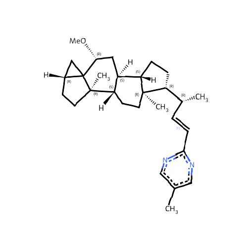 CO[C@@H]1C[C@H]2[C@@H]3CC[C@H]([C@H](C)/C=C/c4ncc(C)cn4)[C@@]3(C)CC[C@@H]2[C@@]2(C)CC[C@@H]3CC312